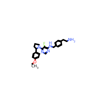 CCOc1ccc(C2CCCN2c2ncnc(NCc3ccc(CCN)cc3)c2F)cc1